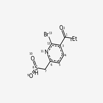 CCC(=O)c1ccc(C[SH](=O)=O)nc1Br